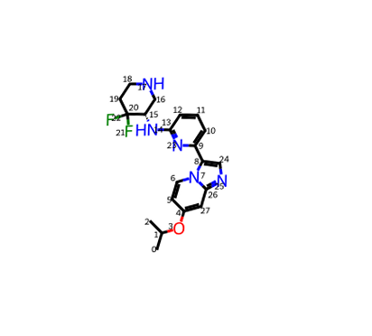 CC(C)Oc1ccn2c(-c3cccc(N[C@H]4CNCCC4(F)F)n3)cnc2c1